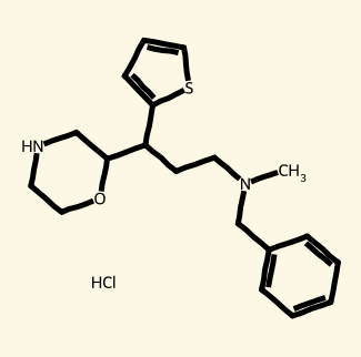 CN(CCC(c1cccs1)C1CNCCO1)Cc1ccccc1.Cl